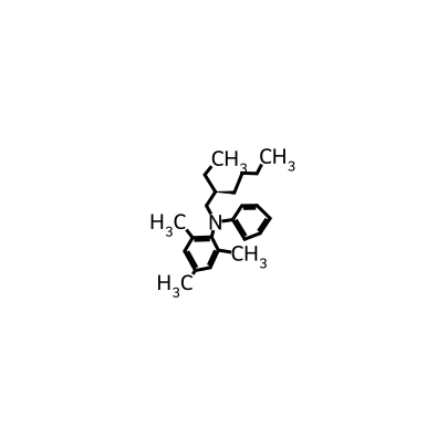 CCCC[C@H](CC)CN(c1ccccc1)c1c(C)cc(C)cc1C